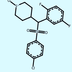 O=S(=O)(c1ccc(Cl)cc1)C(c1cc(F)ccc1F)C1CC[S+]([O-])CC1